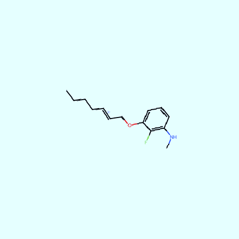 CCCC/C=C/COc1cccc(NC)c1F